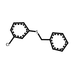 Clc1[c]ccc(SCc2ccccc2)c1